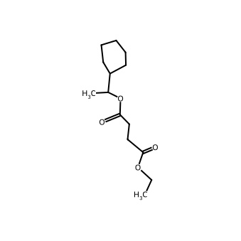 CCOC(=O)CCC(=O)OC(C)C1CCCCC1